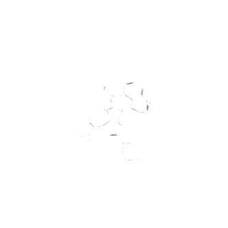 COC(=O)c1cc(N2CCOCC2)cc2c1nc(C)n2-c1ccnc2cccc(C(F)F)c12